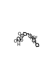 O=C1CCC(N2Cc3cc(CN4CCN(C5CCN(c6ccccc6)CC5(F)F)CC4)ccc3C2=O)C(=O)N1